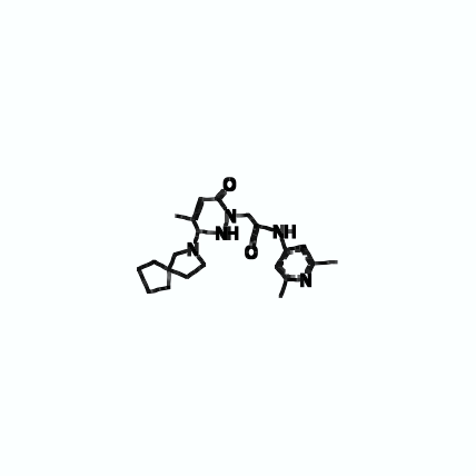 CC1=CC(=O)N(CC(=O)Nc2cc(C)nc(C)c2)NC1N1CCC2(CCCC2)C1